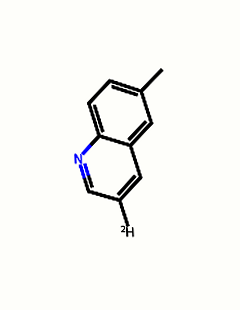 [2H]c1cnc2ccc(C)cc2c1